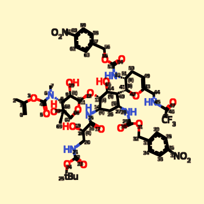 C=C(C)OC(=O)N(C)[C@@H]1[C@@H](O)[C@@H](O[C@H]2[C@H](NC(=O)[C@H](O)CNC(=O)OC(C)(C)C)C[C@H](NC(=O)OCc3ccc([N+](=O)[O-])cc3)C([C@H]3OC(CNC(=O)C(F)(F)F)=CC[C@H]3NC(=O)OCc3ccc([N+](=O)[O-])cc3)[C@@H]2O)OC[C@]1(C)O